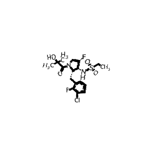 CCS(=O)(=O)N[C@H]1[C@@H](F)CN(C(=O)C(C)(C)O)[C@H]1Cc1cccc(Cl)c1F